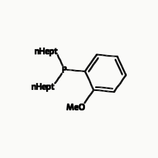 CCCCCCCP(CCCCCCC)c1ccccc1OC